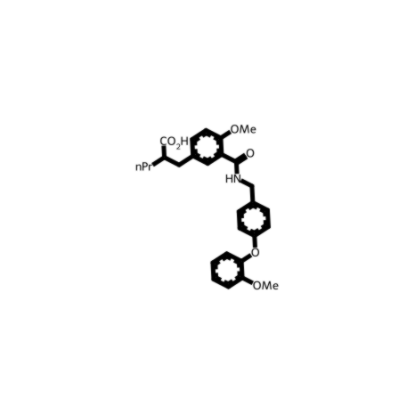 CCCC(Cc1ccc(OC)c(C(=O)NCc2ccc(Oc3ccccc3OC)cc2)c1)C(=O)O